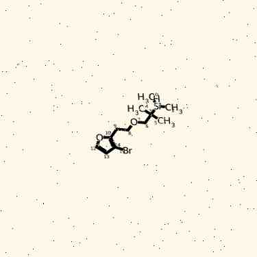 C[SiH](C)C(C)(C)COCCc1occc1Br